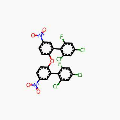 O=[N+]([O-])c1ccc(Oc2ccc([N+](=O)[O-])cc2-c2c(F)cc(Cl)cc2Cl)c(-c2c(F)cc(Cl)cc2Cl)c1